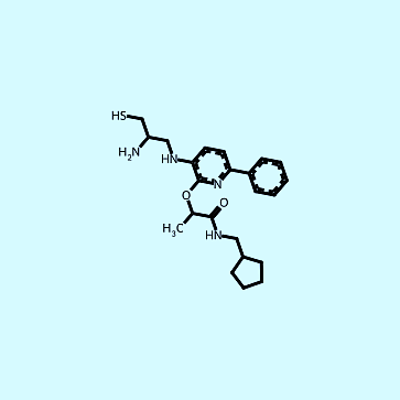 CC(Oc1nc(-c2ccccc2)ccc1NCC(N)CS)C(=O)NCC1CCCC1